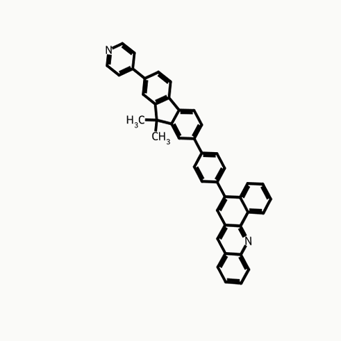 CC1(C)c2cc(-c3ccncc3)ccc2-c2ccc(-c3ccc(-c4cc5cc6ccccc6nc5c5ccccc45)cc3)cc21